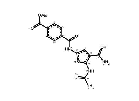 COC(=O)c1ccc(C(=O)Nc2cc(C(N)=O)c(NC(N)=O)s2)cc1